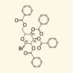 O=C(OCC1O[C@H](Br)C(OC(=O)c2ccccc2)[C@H](OC(=O)c2ccccc2)[C@@H]1OC(=O)c1ccccc1)c1ccccc1